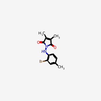 CC1=C(C)C(=O)N(Nc2ccc(C)cc2Br)C1=O